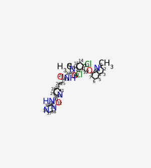 Cc1ccc2cccc(OCc3c(Cl)ccc(N(C)C(=O)CNC(=O)C=Cc4ccc(C(=O)Nc5cnccn5)nc4)c3Cl)c2n1